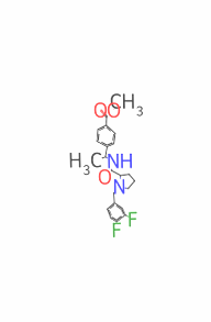 COC(=O)c1ccc([C@H](C)NC(=O)C2CCCN2Cc2ccc(F)c(F)c2)cc1